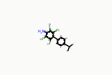 CC(C)c1ccc(-c2c(F)c(F)c(N)c(F)c2F)cc1